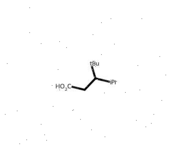 CC(C)C(CC(=O)O)C(C)(C)C